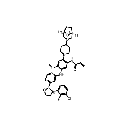 C=CC(=O)Nc1cc(Nc2cc(N3OCC[C@@H]3c3cccc(Cl)c3F)ncn2)c(OC)cc1N1CCC(N2C[C@H]3CC[C@@H](C2)O3)CC1